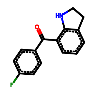 O=C(c1ccc(F)cc1)c1cccc2c1NCC2